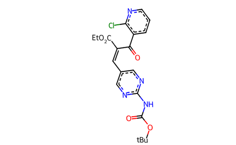 CCOC(=O)/C(=C/c1cnc(NC(=O)OC(C)(C)C)nc1)C(=O)c1cccnc1Cl